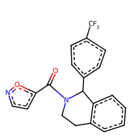 O=C(c1ccno1)N1CCc2ccccc2C1c1ccc(C(F)(F)F)cc1